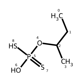 CCC(C)OP(O)(=S)S